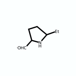 CCC1CCC([C]=O)N1